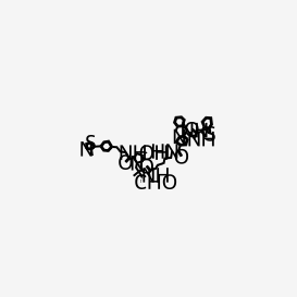 Cc1ccccc1Nc1ncc(C(=O)NCCCCCC(=O)N[C@H](C=O)C(C)(C)CN2C[C@H](O)C[C@H]2C(=O)NCCc2ccc(-c3scnc3C)cc2)cc1NC(=O)c1csc2ccccc12